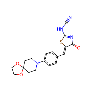 N#CNC1=NC(=O)/C(=C/c2ccc(N3CCC4(CC3)OCCO4)cc2)S1